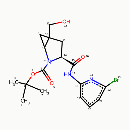 CC(C)(C)OC(=O)N1C2CC2(CO)C[C@H]1C(=O)Nc1cccc(Br)n1